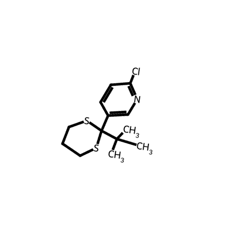 CC(C)(C)C1(c2ccc(Cl)nc2)SCCCS1